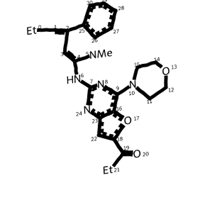 CC/C=C(\C=C(/NC)Nc1nc(N2CCOCC2)c2oc(C(=O)CC)cc2n1)c1ccccc1